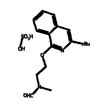 CCCCc1cc2ccccc2c(OCCN(C)C=O)n1.O=S(=O)(O)O